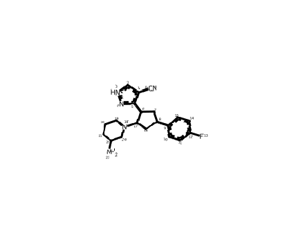 N#Cc1c[nH]nc1C1CC(c2ccc(F)cc2)CC1N1CCCC(N)C1